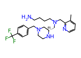 Cc1cccnc1CN(CCCCN)C[C@H]1CN(Cc2ccc(C(F)(F)F)cc2)CCN1